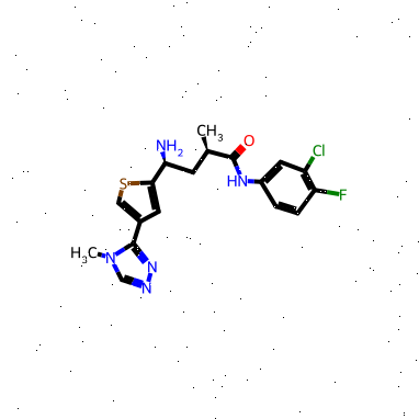 C[C@H](C[C@H](N)c1cc(-c2nncn2C)cs1)C(=O)Nc1ccc(F)c(Cl)c1